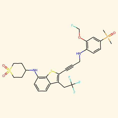 CP(C)(=O)c1ccc(NCC#Cc2sc3c(NC4CCS(=O)(=O)CC4)cccc3c2CC(F)(F)F)c(OCF)c1